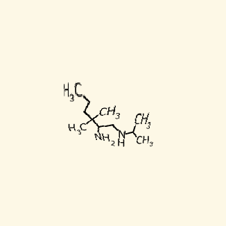 CCCC(C)(C)C(N)CNC(C)C